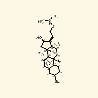 C[SiH](C)OCC=C1C(O)C[C@H]2[C@@H]3CCC4CC(C(C)(C)C)CC[C@]4(C)[C@H]3CC[C@]12C